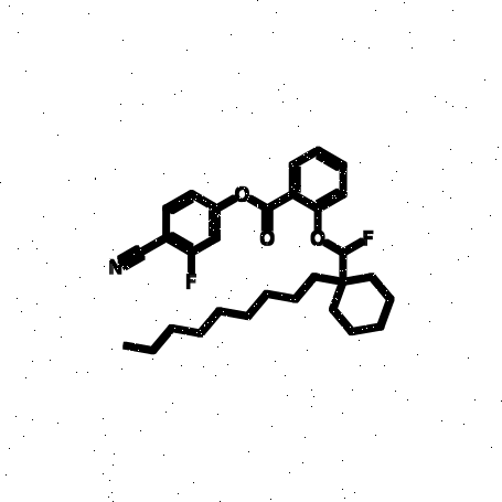 CCCCCCCCCC1(C(F)Oc2ccccc2C(=O)Oc2ccc(C#N)c(F)c2)CCCCC1